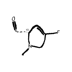 CN1CC(F)=C[C@H]1C=O